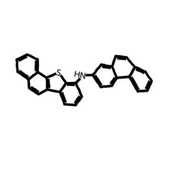 c1ccc2c(c1)ccc1cc(Nc3cccc4c3sc3c5ccccc5ccc43)ccc12